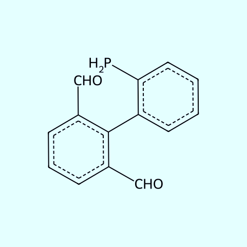 O=Cc1cccc(C=O)c1-c1ccccc1P